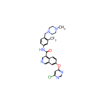 CN1CCN(Cc2ccc(NC(=O)c3cncc4cc(Oc5cc(Cl)ncn5)ccc34)cc2C(F)(F)F)CC1